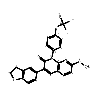 COc1ccc2cc(-c3ccc4c(c3)CCO4)c(=O)n(-c3ccc(OC(F)(F)F)cc3)c2n1